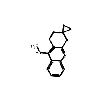 CNc1c2c(nc3ccccc13)CC1(CC2)CC1